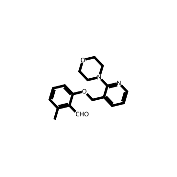 Cc1cccc(OCc2cccnc2N2CCOCC2)c1C=O